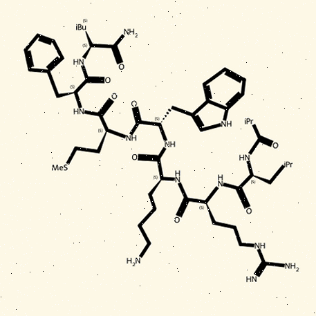 CC[C@H](C)[C@H](NC(=O)[C@H](Cc1ccccc1)NC(=O)[C@H](CCSC)NC(=O)[C@H](Cc1c[nH]c2ccccc12)NC(=O)[C@H](CCCCN)NC(=O)[C@H](CCCNC(=N)N)NC(=O)[C@H](CC(C)C)NC(=O)C(C)C)C(N)=O